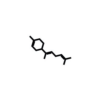 CC(C)=CCC=C(C)C1CC=C(C)CC1